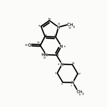 CN1CCN(c2nc3c(ccn3C)c(=O)[nH]2)CC1